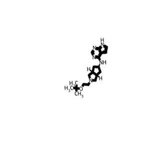 CC(C)(C)OCCN1C[C@H]2C[C@H](Nc3ncnc4[nH]ccc34)C[C@H]2C1